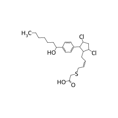 CCCCCCC(O)c1ccc(C2C(Cl)CC(Cl)C2C/C=C\CSCC(=O)O)cc1